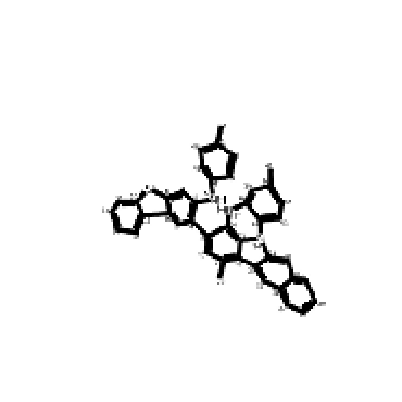 Cc1ccc(Nc2cc3sc4ccccc4c3cc2-c2cc(C)c3c4cc5ccccc5cc4n4c3c2Bc2cc(C)ccc2-4)cc1